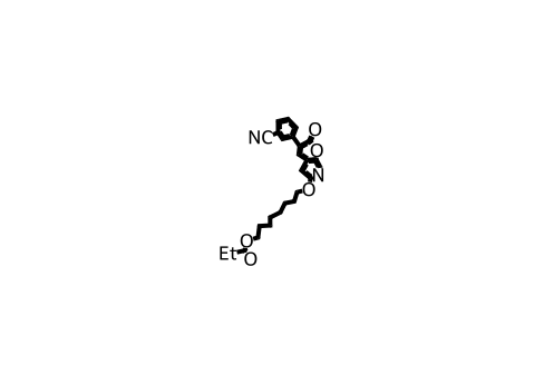 CCC(=O)OCCCCCCCCOc1cc2cc(-c3cccc(C#N)c3)c(=O)oc2cn1